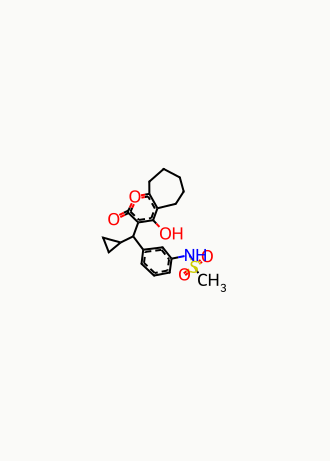 CS(=O)(=O)Nc1cccc(C(c2c(O)c3c(oc2=O)CCCCC3)C2CC2)c1